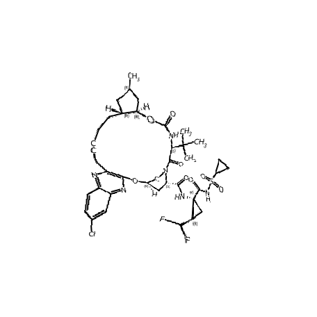 C[C@@H]1C[C@H]2CCCCCc3nc4ccc(Cl)cc4nc3O[C@@H]3C[C@@H](C(=O)N[C@]4(C(=O)NS(=O)(=O)C5CC5)C[C@H]4C(F)F)N(C3)C(=O)[C@H](C(C)(C)C)NC(=O)O[C@@H]2C1